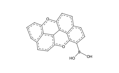 OB(O)c1ccc2ccc3oc4cccc5ccc6oc1c2c3-c6c54